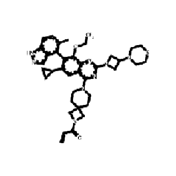 C=CC(=O)N1CC2(CCN(c3nc(N4CC(N5CCSCC5)C4)nc4c(OCC(F)(F)F)c(-c5c(C)ccc6[nH]ncc56)c(C5CC5)cc34)CC2)C1